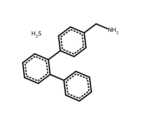 NCc1ccc(-c2ccccc2-c2ccccc2)cc1.S